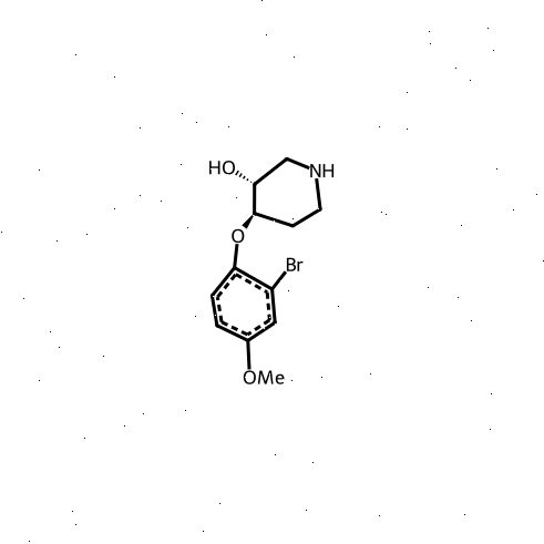 COc1ccc(O[C@@H]2CCNC[C@H]2O)c(Br)c1